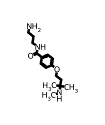 CNC(C)(C)CCOc1ccc(C(=O)NCCCN)cc1